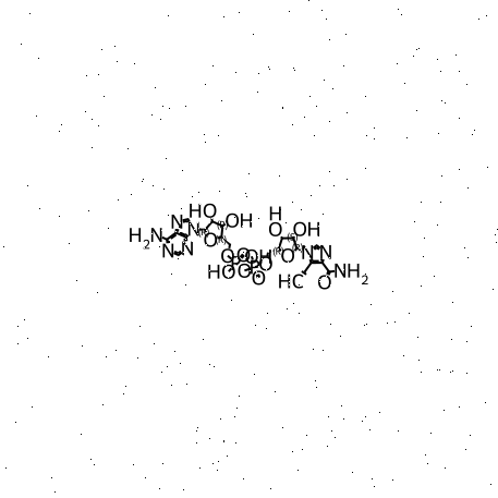 C#Cc1c(C(N)=O)ncn1[C@@H]1O[C@H](COP(=O)(O)OP(=O)(O)OC[C@H]2O[C@@H](n3cnc4c(N)ncnc43)C(O)[C@H]2O)C(O)[C@@H]1O